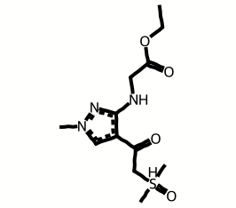 CCOC(=O)CNc1nn(C)cc1C(=O)C[SH](C)(C)=O